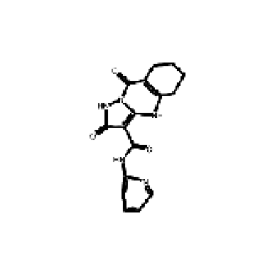 O=C(Nc1ccccn1)c1c(=O)[nH]n2c(=O)c3c([nH]c12)CCCC3